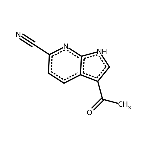 CC(=O)c1c[nH]c2nc(C#N)ccc12